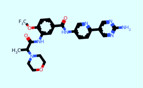 CC(C(=O)Nc1cc(C(=O)Nc2ccc(-c3cnc(N)nc3)nc2)ccc1OC(F)(F)F)N1CCOCC1